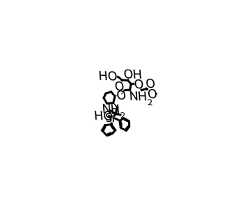 COC(=O)COC1C(N)[C@H](O[C@H]2CCC[C@@H](N)[C@@H]2CC(C)(C)[Si](O)(c2ccccc2)c2ccccc2)OC(CO)[C@H]1O